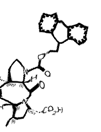 C[C@@H]1C[C@@H](C(=O)O)N2C(=O)[C@@H]3[C@@H](C=C[C@@H]12)CCN3C(=O)OCC1c2ccccc2-c2ccccc21